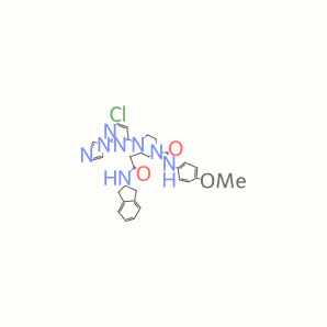 COc1ccc(NC(=O)N2CCN(c3cc(Cl)nc(-n4ccnc4)n3)C(CC(=O)NC3Cc4ccccc4C3)C2)cc1